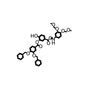 COCOc1ccc(NOC(=O)c2ccc(O)c(OC(=O)c3ccc(OCc4ccccc4)c(OCc4ccccc4)c3)c2)cc1OCOC